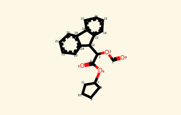 O=[C]OC(C(=O)OC1CCCC1)C1c2ccccc2-c2ccccc21